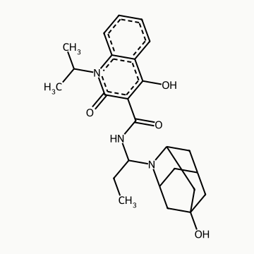 CCC(NC(=O)c1c(O)c2ccccc2n(C(C)C)c1=O)N1C2CC3CC1CC(O)(C3)C2